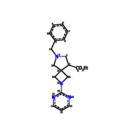 CCOC(=O)C1CN(Cc2ccccc2)CC12CN(c1ncccn1)C2